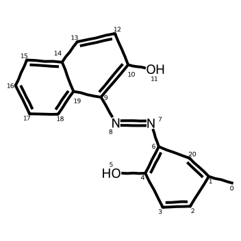 Cc1ccc(O)c(/N=N/c2c(O)ccc3ccccc23)c1